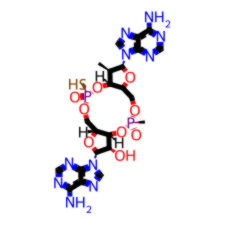 C[C@@H]1[C@@H]2O[P@](=O)(S)OC[C@H]3O[C@@H](n4cnc5c(N)ncnc54)[C@H](O)[C@@H]3O[P@@](C)(=O)OCC2O[C@H]1n1cnc2c(N)ncnc21